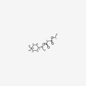 CCOC(=O)CC(=O)OC(C)C1CCC(C)(C)CC1